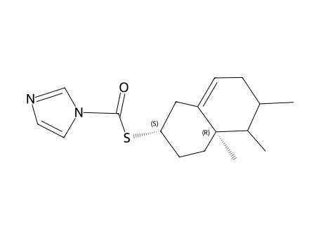 CC1CC=C2C[C@@H](SC(=O)n3ccnc3)CC[C@]2(C)C1C